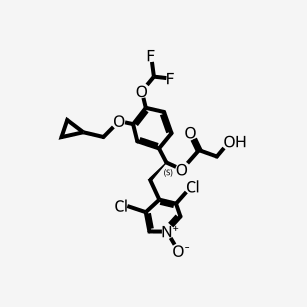 O=C(CO)O[C@@H](Cc1c(Cl)c[n+]([O-])cc1Cl)c1ccc(OC(F)F)c(OCC2CC2)c1